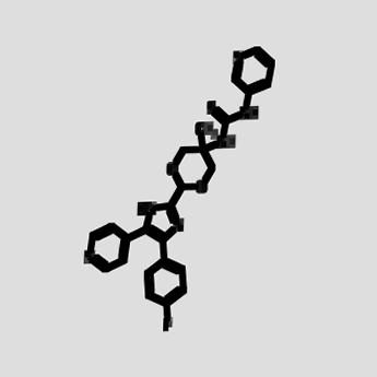 CC1(NC(=S)Nc2cccnc2)COC(c2nc(-c3ccc(F)cc3)c(-c3ccncc3)[nH]2)OC1